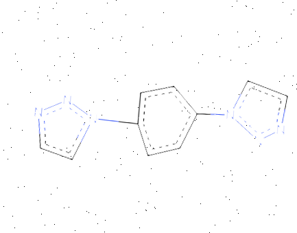 c1cn(-c2ccc(-n3ccnn3)cc2)nn1